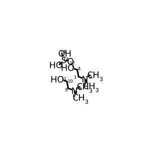 CN(C)CCO.CN(C)CCO.O=S(O)O